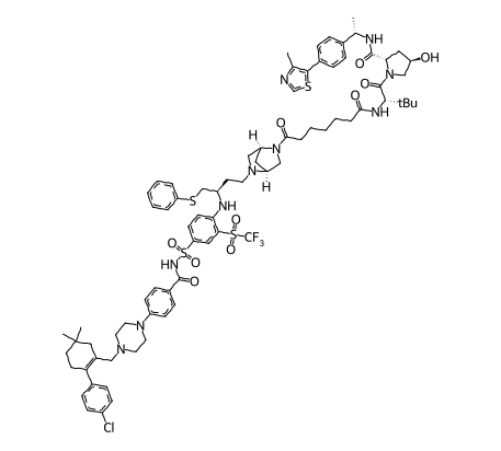 Cc1ncsc1-c1ccc([C@H](C)NC(=O)[C@@H]2C[C@@H](O)CN2C(=O)[C@@H](NC(=O)CCCCCC(=O)N2C[C@@H]3C[C@H]2CN3CC[C@H](CSc2ccccc2)Nc2ccc(S(=O)(=O)NC(=O)c3ccc(N4CCN(CC5=C(c6ccc(Cl)cc6)CCC(C)(C)C5)CC4)cc3)cc2S(=O)(=O)C(F)(F)F)C(C)(C)C)cc1